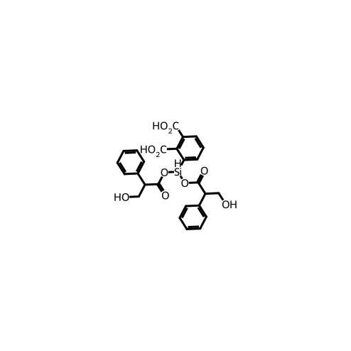 O=C(O)c1cccc([SiH](OC(=O)C(CO)c2ccccc2)OC(=O)C(CO)c2ccccc2)c1C(=O)O